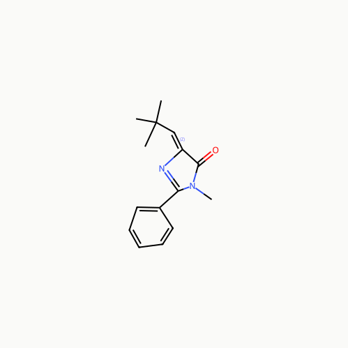 CN1C(=O)/C(=C/C(C)(C)C)N=C1c1ccccc1